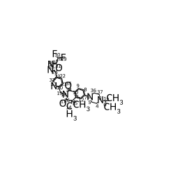 CC(C)N1CCN(c2ccc3c(c2)C(C)(C)C(=O)N(Cc2ccc(-c4nnc(C(F)F)o4)cn2)C3=O)CC1